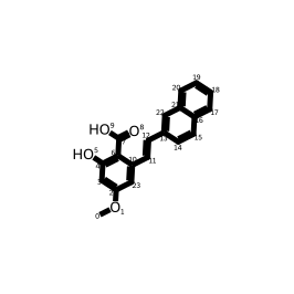 COc1cc(O)c(C(=O)O)c(/C=C/c2ccc3ccccc3c2)c1